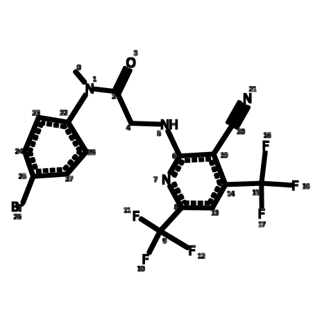 CN(C(=O)CNc1nc(C(F)(F)F)cc(C(F)(F)F)c1C#N)c1ccc(Br)cc1